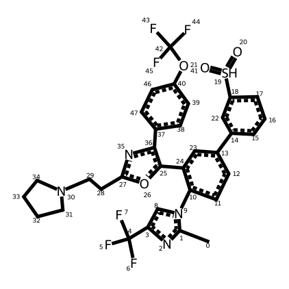 Cc1nc(C(F)(F)F)cn1-c1ccc(-c2cccc([SH](=O)=O)c2)cc1-c1oc(CCN2CCCC2)nc1-c1ccc(OC(F)(F)F)cc1